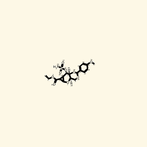 CCOC(=O)C1C2O[C@@H]3COC(c4ccc(OC)cc4)O[C@H]3[C@H](OS(N)(=O)=O)C21